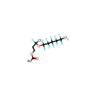 CCC(C)C(=O)OCCC(F)(OC(F)(F)C(F)(F)C(F)(F)C(F)(F)C(F)(F)C(F)(F)F)C(F)(F)F